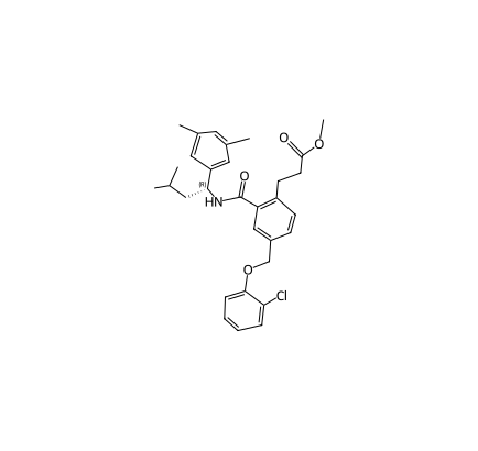 COC(=O)CCc1ccc(COc2ccccc2Cl)cc1C(=O)N[C@H](CC(C)C)c1cc(C)cc(C)c1